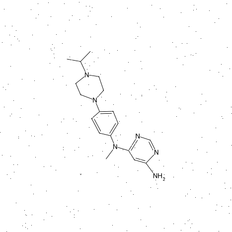 CC(C)N1CCN(c2ccc(N(C)c3cc(N)ncn3)cc2)CC1